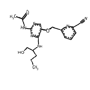 CCCC(CO)Nc1nc(NC(C)=O)ncc1OCc1cccc(C#N)n1